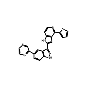 c1csc(-c2nccc3[nH]c(-c4n[nH]c5ccc(-c6cnccn6)cc45)cc23)c1